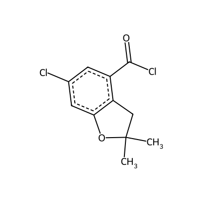 CC1(C)Cc2c(cc(Cl)cc2C(=O)Cl)O1